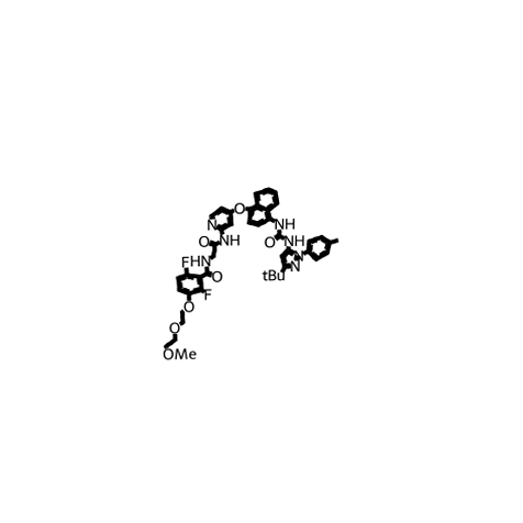 COCCOCCOc1ccc(F)c(C(=O)NCC(=O)Nc2cc(Oc3ccc(NC(=O)Nc4cc(C(C)(C)C)nn4-c4ccc(C)cc4)c4ccccc34)ccn2)c1F